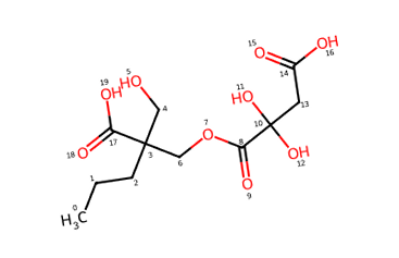 CCCC(CO)(COC(=O)C(O)(O)CC(=O)O)C(=O)O